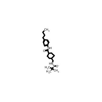 CCCCc1ccc(NC(=O)C2CCC(CN[S+]([O-])C(C)(C)C)CC2)cc1